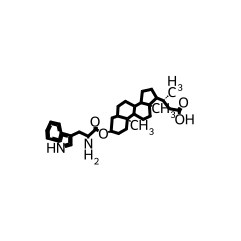 C[C@H](CC(=O)O)C1CCC2C3CCC4C[C@H](OC(=O)[C@@H](N)Cc5c[nH]c6ccccc56)CC[C@]4(C)C3CC[C@@]21C